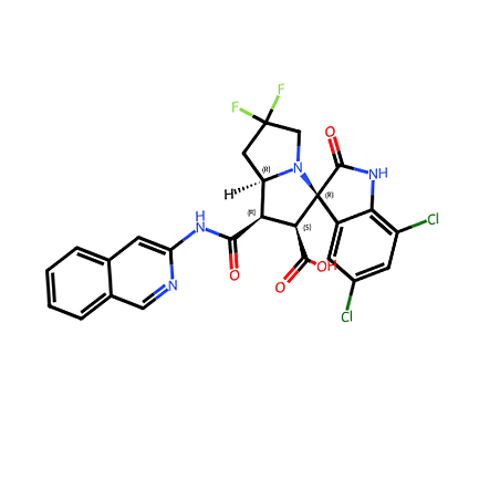 O=C(Nc1cc2ccccc2cn1)[C@H]1[C@H]2CC(F)(F)CN2[C@]2(C(=O)Nc3c(Cl)cc(Cl)cc32)[C@H]1C(=O)O